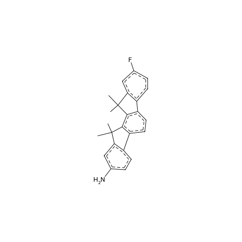 CC1(C)c2cc(N)ccc2-c2ccc3c(c21)C(C)(C)c1cc(F)ccc1-3